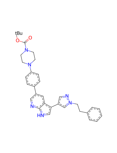 CC(C)(C)OC(=O)N1CCN(c2ccc(-c3cnc4[nH]cc(-c5cnn(CCc6ccccc6)c5)c4c3)cc2)CC1